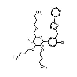 CCCCOCC1OC(c2ccc(Cl)c(Cc3ccc(-c4ccccc4)s3)c2)[C@H](OCCCC)C(OCCCC)[C@@H]1F